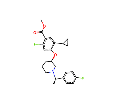 COC(=O)c1cc(C2CC2)c(O[C@@H]2CCCN([C@H](C)c3ccc(F)cc3)C2)cc1F